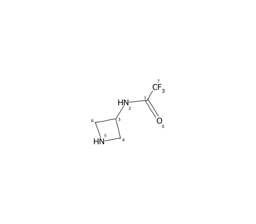 O=C(NC1CNC1)C(F)(F)F